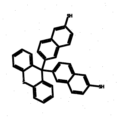 Sc1ccc2cc(C3(c4ccc5cc(S)ccc5c4)c4ccccc4Sc4ccccc43)ccc2c1